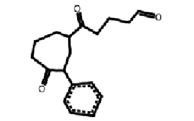 O=CCCCC(=O)C1CCCC(=O)C(c2ccccc2)C1